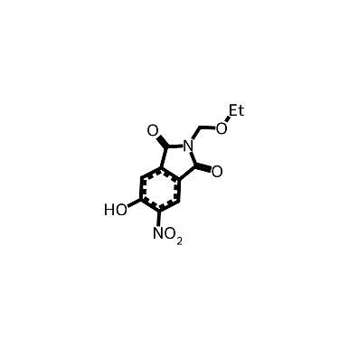 CCOCN1C(=O)c2cc(O)c([N+](=O)[O-])cc2C1=O